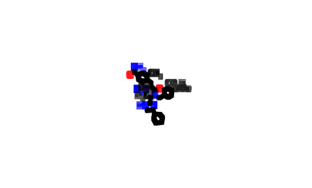 COc1ccc(CN(C(=O)[C@H](N)Cc2c(C)cc(C(N)=O)cc2C)[C@H](C)c2nc(-c3ccccc3)c[nH]2)cc1C(=O)O